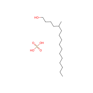 CCCCCCCCCCCC(C)CCCCO.O=S(=O)(O)O